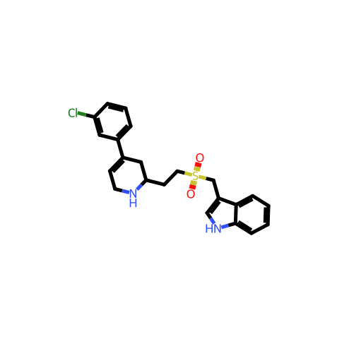 O=S(=O)(CCC1CC(c2cccc(Cl)c2)=CCN1)Cc1c[nH]c2ccccc12